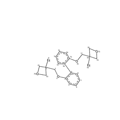 CCC1(COc2ccccc2-c2ccccc2OCC2(CC)COC2)COC1